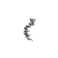 CCOC(O)c1nc(NC(=O)CCNC(=O)c2cc(NC(=O)c3nc(NC(=O)CCN)cn3C)cn2C)cn1C